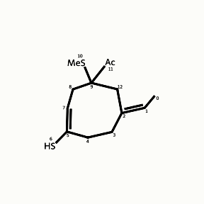 C/C=C1/CC/C(S)=C\CC(SC)(C(C)=O)C1